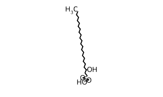 CCCCCCCCCCCCCCCCCCCCCC(O)CCS(=O)(=O)O